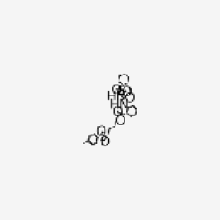 Cc1ccc(S(=O)(=O)CCCCOC(=O)c2ccccc2NC(=O)NS(=O)(=O)C2CCCCC2)cc1